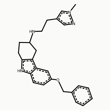 Cn1cc(CCNC2CCc3[nH]c4ccc(OCc5ccccc5)cc4c3C2)cn1